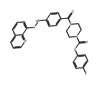 O=C(Oc1ccc(F)cc1)N1CCN(C(=O)c2ccc(NSc3cccc4cccnc34)cc2)CC1